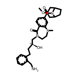 COC1CC2CCC(C1)N2C(=O)c1ccc2c(c1)N(C)CCN(C[C@@H](O)CCc1ccccc1CN)C2=O